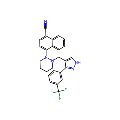 N#Cc1ccc(N2CCCCN2Cc2c[nH]nc2-c2cccc(C(F)(F)F)c2)c2ccccc12